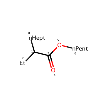 CCCCCCCC(CC)C(=O)OCCCCC